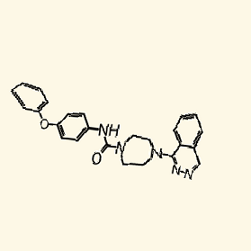 O=C(Nc1ccc(Oc2ccccc2)cc1)N1CCN(c2nncc3ccccc23)CC1